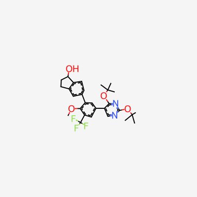 COc1c(-c2ccc3c(c2)CCC3O)cc(-c2cnc(OC(C)(C)C)nc2OC(C)(C)C)cc1C(F)(F)F